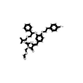 CC(C)COCC(Oc1cc(/C=C2\SC(=S)N(COC=O)C2=O)ccc1OCCc1ccc(F)cc1)c1ccccc1